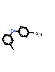 Cc1cccc(Nc2ccc(C(=O)O)cc2)c1